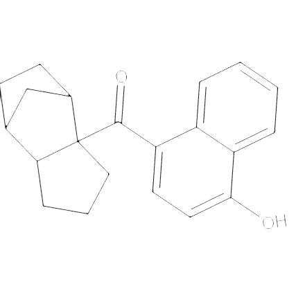 O=C(c1ccc(O)c2ccccc12)C12CCCC1C1CCC2C1